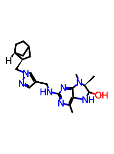 Cc1nc(NCc2cnn(C[C@@H]3CC4CC[C@@H]3C4)c2)nc2c1NC(O)[C@H](C)N2C